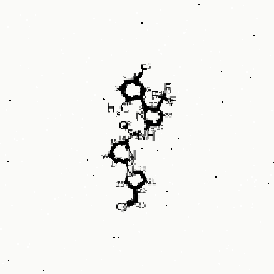 Cc1ccc(F)cc1-c1nc(N[S+]([O-])c2cccc(N3CCC(C=O)C3)n2)ccc1C(F)(F)F